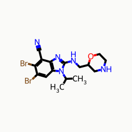 CC(C)n1c(NCC2CNCCO2)nc2c(C#N)c(Br)c(Br)cc21